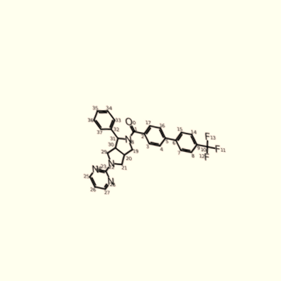 O=C(c1ccc(-c2ccc(C(F)(F)F)cc2)cc1)N1CC2CN(c3ncccn3)CC2C1c1ccccc1